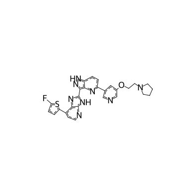 Fc1ccc(-c2ccnc3[nH]c(-c4n[nH]c5ccc(-c6cncc(OCCN7CCCC7)c6)nc45)nc23)s1